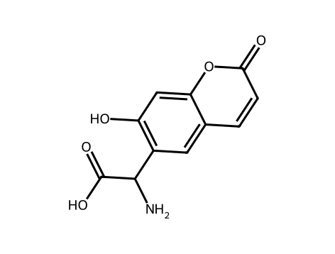 NC(C(=O)O)c1cc2ccc(=O)oc2cc1O